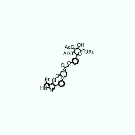 CCc1c[nH]c2ncc(-c3cccc(N4CCN(C(=O)COc5cccc([C@@H]6O[C@H](COC(C)=O)[C@@H](O)[C@H](OC(C)=O)[C@H]6OC(C)=O)c5)CC4=O)c3)c(Cl)c12